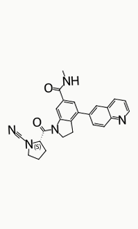 CNC(=O)c1cc(-c2ccc3ncccc3c2)c2c(c1)N(C(=O)[C@@H]1CCCN1C#N)CC2